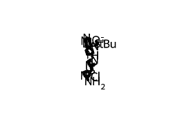 CC(C)(C)[S+]([O-])N[C@@H]1c2cnnn2CC12CCN(c1cnc(Sc3ccnc(N)c3Cl)cn1)CC2